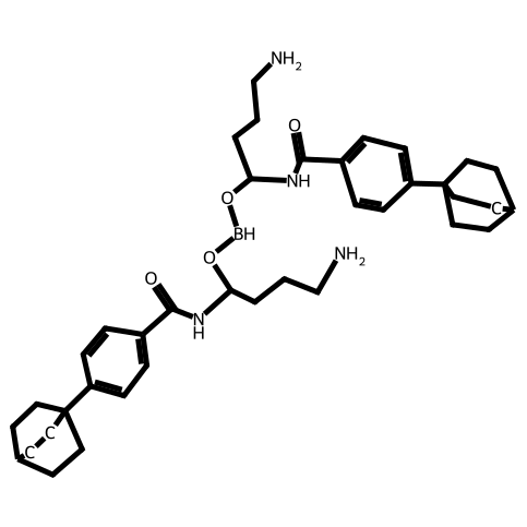 NCCCC(NC(=O)c1ccc(C23CCC(CC2)CC3)cc1)OBOC(CCCN)NC(=O)c1ccc(C23CCC(CC2)CC3)cc1